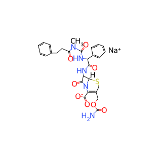 CN(C(=O)CCc1ccccc1)C(=O)NC(C(=O)NC1C(=O)N2C(C(=O)[O-])=C(COC(N)=O)CS[C@H]12)c1ccccc1.[Na+]